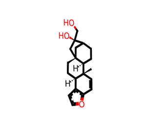 C[C@@]12C=Cc3occc3[C@H]1CC[C@@]13CC(CC[C@H]12)[C@@](O)(CO)C3